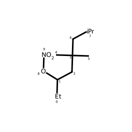 CCC(CC(C)(C)CC(C)C)O[N+](=O)[O-]